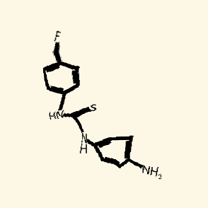 Nc1ccc(NC(=S)Nc2ccc(F)cc2)cc1